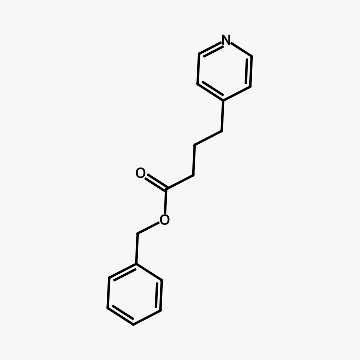 O=C(CCCc1ccncc1)OCc1ccccc1